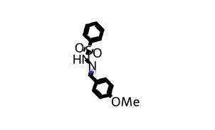 COc1ccc(/C=N/NS(=O)(=O)c2ccccc2)cc1